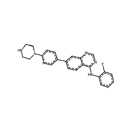 Fc1ccccc1Nc1ncnc2cc(-c3ccc(N4CCNCC4)nc3)ccc12